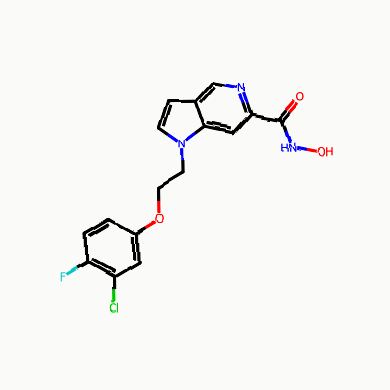 O=C(NO)c1cc2c(ccn2CCOc2ccc(F)c(Cl)c2)cn1